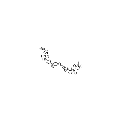 CC(C)(C)c1cc(NC(=O)Nc2ccc(-n3cnc4cc(OCCOCC(=O)Nc5cccc6c5CN(C5CCC(=O)NC5=O)C6=O)ccc43)cc2)no1